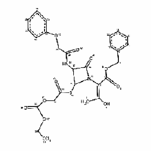 CC(O)=C(C(=O)OCc1ccccc1)N1C(=O)C(NC(=O)COc2ccccc2)C1SC(=O)COC(=O)OCC(Cl)(Cl)Cl